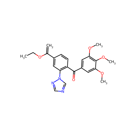 C=C(OCC)c1ccc(C(=O)c2cc(OC)c(OC)c(OC)c2)c(-n2cncn2)c1